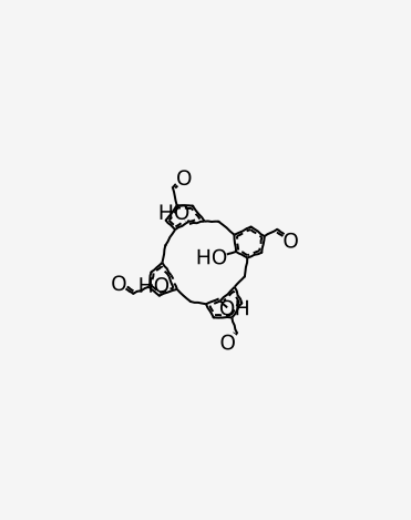 O=Cc1cc2c(O)c(c1)Cc1cc(C=O)cc(c1O)Cc1cc(C=O)cc(c1O)Cc1cc(C=O)cc(c1O)C2